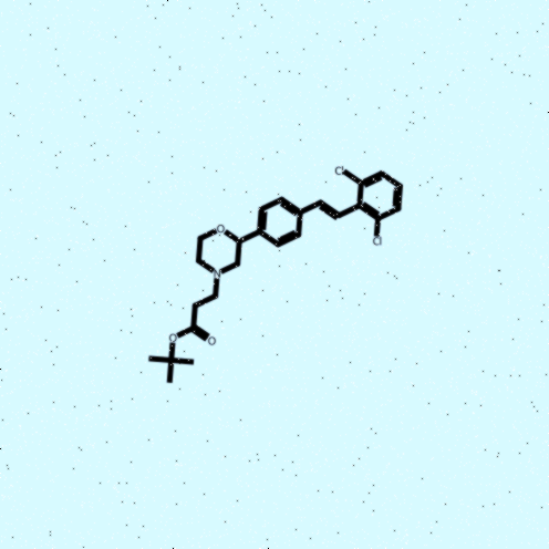 CC(C)(C)OC(=O)CCN1CCOC(c2ccc(C=Cc3c(Cl)cccc3Cl)cc2)C1